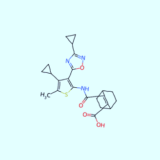 Cc1sc(NC(=O)C2=C(C(=O)O)C3CCC2CC3)c(-c2nc(C3CC3)no2)c1C1CC1